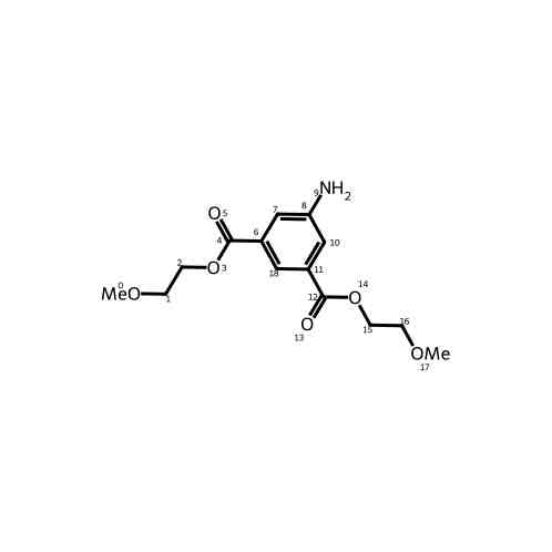 COCCOC(=O)c1cc(N)cc(C(=O)OCCOC)c1